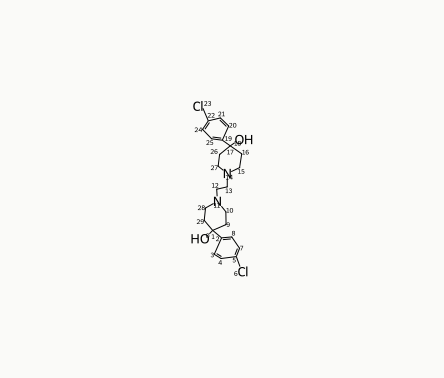 OC1(c2ccc(Cl)cc2)CCN(CCN2CCC(O)(c3ccc(Cl)cc3)CC2)CC1